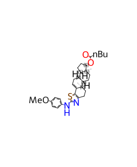 CCCCC(=O)O[C@H]1CC[C@H]2[C@@H]3CC=C4c5sc(Nc6ccc(OC)cc6)nc5CC[C@]4(C)[C@H]3CC[C@]12C